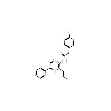 CCCc1nc(-c2ccccc2)cnc1NC(=O)Cc1ccc(Cl)cc1